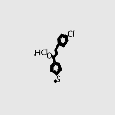 CSc1ccc(C(=O)C=Cc2ccc(Cl)cc2)cc1.Cl